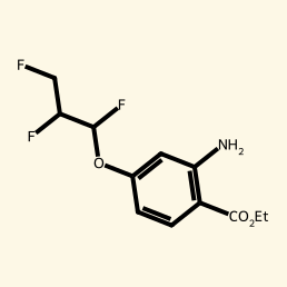 CCOC(=O)c1ccc(OC(F)C(F)CF)cc1N